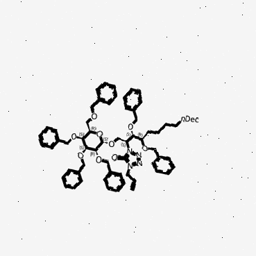 C=CCn1nnn([C@@H](CO[C@H]2O[C@H](COCc3ccccc3)[C@H](OCc3ccccc3)[C@H](OCc3ccccc3)[C@H]2OCc2ccccc2)[C@H](OCc2ccccc2)[C@@H](CCCCCCCCCCCCCC)OCc2ccccc2)c1=O